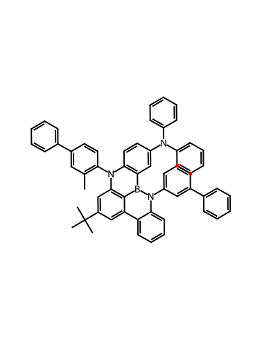 Cc1cc(-c2ccccc2)ccc1N1c2ccc(N(c3ccccc3)c3ccccc3)cc2B2c3c(cc(C(C)(C)C)cc31)-c1ccccc1N2c1cccc(-c2ccccc2)c1